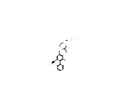 C#Cc1cc2c(c(C)c1-c1c(O)cccc1Cl)OC[C@H]1CN(C(=O)OC(C)(C)C)CCN1C2